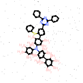 Bc1c(B)c(B)c(-c2c(B)c(B)c(N(c3c(B)c(B)c(B)c(B)c3B)c3c(B)c(B)c(-c4ccc(-c5nc(-c6ccccc6)nc(-c6ccccc6)n5)cc4Sc4ccccc4)c(B)c3B)c(B)c2B)c(B)c1B